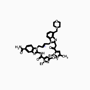 CCn1nc(C)cc1C(=O)Cc1nc2c(CN3CCOCC3)cccc2n1C/C=C/Cn1c(NC(=O)c2cc(C)nn2CC)nc2cc(C(N)=O)ccc21